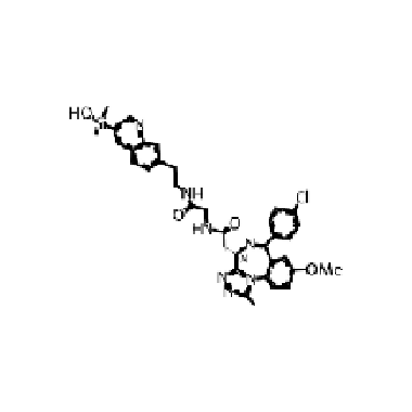 COc1ccc2c(c1)C(c1ccc(Cl)cc1)=N[C@@H](CC(=O)NCC(=O)NCCc1ccc3cc([Si](C)(C)O)cnc3c1)c1nnc(C)n1-2